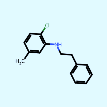 [CH2]c1ccc(Cl)c(NCCc2ccccc2)c1